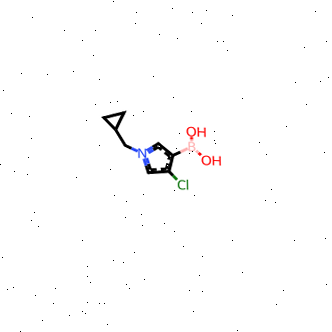 OB(O)c1cn(CC2CC2)cc1Cl